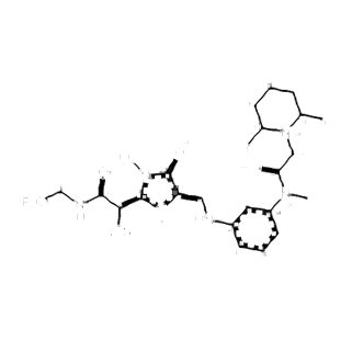 CCn1c(=C(C#N)C(=O)NCC(F)(F)F)sc(=CNc2cccc(N(C)C(=O)CN3C(C)CCCC3C)c2)c1=O